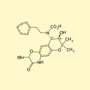 CC(C)(C)C1Oc2cc3c(cc2NC1=O)OC(C)(C)[C@H](O)[C@H]3N(CCc1ccccc1)C(=O)O